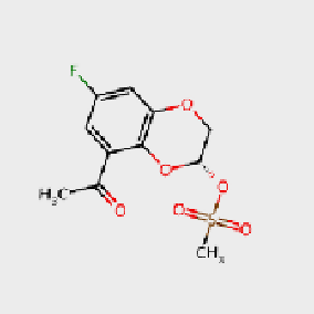 CC(=O)c1cc(F)cc2c1O[C@@H](OS(C)(=O)=O)CO2